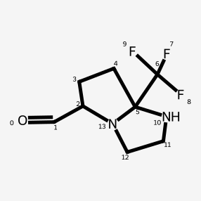 O=CC1CCC2(C(F)(F)F)NCCN12